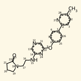 Cc1ccc(-c2ccc(Oc3cncc(NCCN4CCCC4=O)n3)cc2)nc1